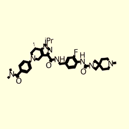 CC(C)n1nc(C(=O)NCc2ccc(NC(=O)N3CC4(CCN(C)CC4)C3)c(F)c2)c2c1[C@@H](C)CN(c1ccc(C(=O)N(C)C)cc1)C2